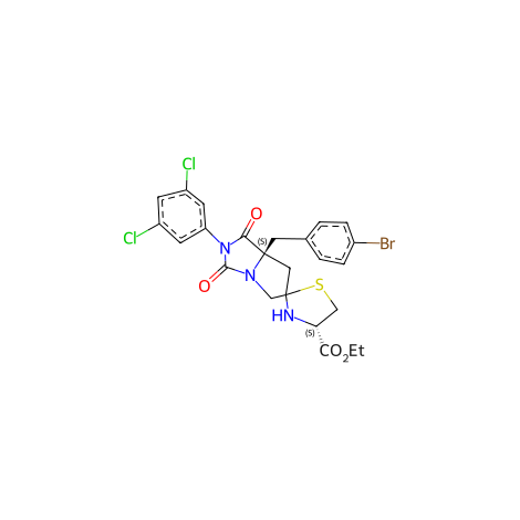 CCOC(=O)[C@H]1CSC2(CN3C(=O)N(c4cc(Cl)cc(Cl)c4)C(=O)[C@]3(Cc3ccc(Br)cc3)C2)N1